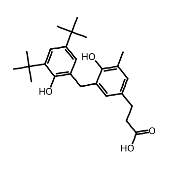 Cc1cc(CCC(=O)O)cc(Cc2cc(C(C)(C)C)cc(C(C)(C)C)c2O)c1O